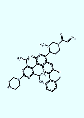 C=CC(=O)N1CCN(c2nc(=O)n(-c3c(C(C)C)nc(N4CCNCC4)nc3C(C)C)c3nc(-c4ccccc4F)c(Cl)cc23)[C@@H](C)C1